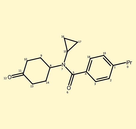 CC(C)c1ccc(C(=O)N(C2CCC(=O)CC2)C2CC2)cc1